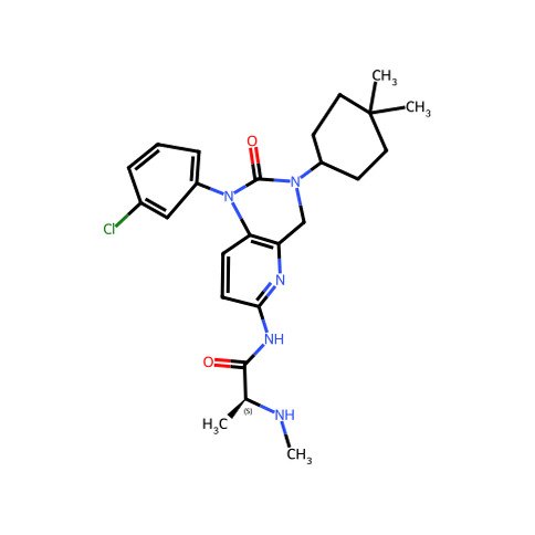 CN[C@@H](C)C(=O)Nc1ccc2c(n1)CN(C1CCC(C)(C)CC1)C(=O)N2c1cccc(Cl)c1